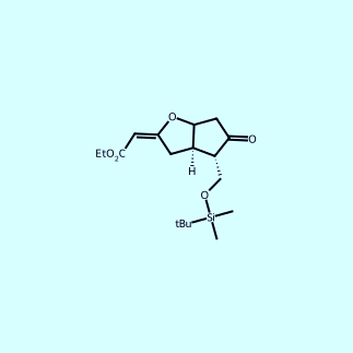 CCOC(=O)/C=C1\C[C@H]2C(CC(=O)[C@@H]2CO[Si](C)(C)C(C)(C)C)O1